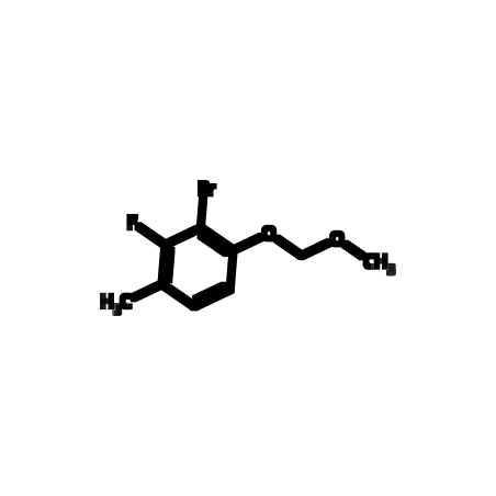 COCOc1ccc(C)c(F)c1Br